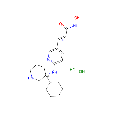 Cl.Cl.O=C(/C=C/c1ccc(N[C@@]2(C3CCCCC3)CCCNC2)nc1)NO